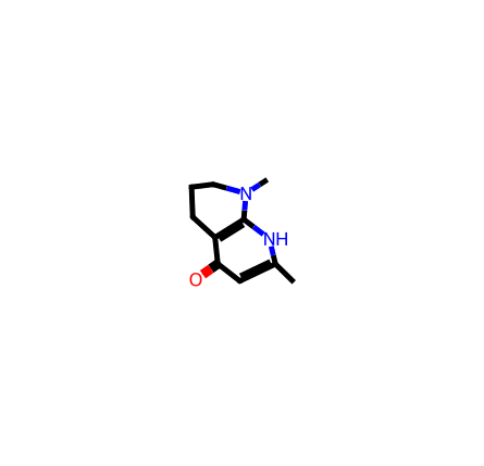 Cc1cc(=O)c2c([nH]1)N(C)CCC2